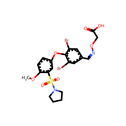 COc1ccc(Oc2c(Br)cc(/C=N\OCC(=O)O)cc2Br)cc1S(=O)(=O)N1CCCC1